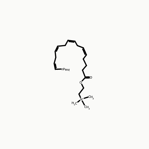 CCCCC/C=C\C/C=C\C/C=C\C/C=C\CCCC(=O)OCC[N+](C)(C)C